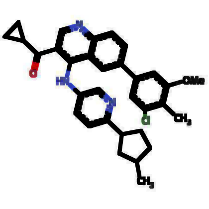 COc1cc(-c2ccc3ncc(C(=O)C4CC4)c(Nc4ccc(C5CCC(C)C5)nc4)c3c2)cc(Cl)c1C